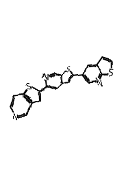 c1cc2sc(-c3cc4cc(-c5cnc6sccc6c5)sc4cn3)cc2cn1